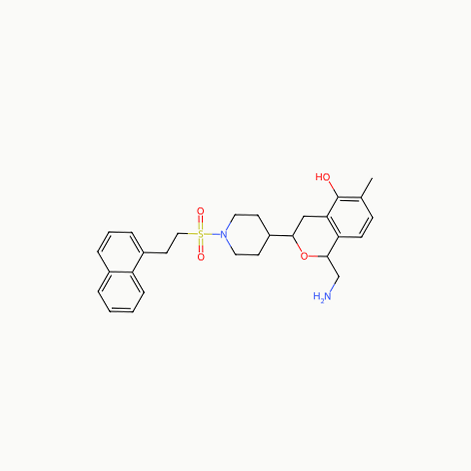 Cc1ccc2c(c1O)CC(C1CCN(S(=O)(=O)CCc3cccc4ccccc34)CC1)OC2CN